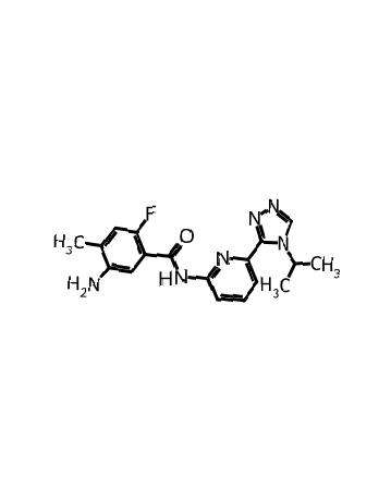 Cc1cc(F)c(C(=O)Nc2cccc(-c3nncn3C(C)C)n2)cc1N